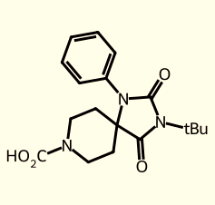 CC(C)(C)N1C(=O)N(c2ccccc2)C2(CCN(C(=O)O)CC2)C1=O